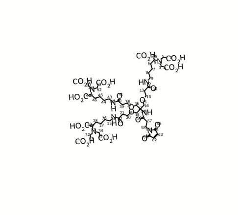 O=C(O)CN(CC(=O)O)C(CCCCNC(=O)CCOCC(COCCC(=O)NCCCCC(C(=O)O)N(CC(=O)O)CC(=O)O)(COCCC(=O)NCCCCC(C(=O)O)N(CC(=O)O)CC(=O)O)NC(=O)CCN1C(=O)C=CC1=O)C(=O)O